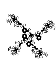 CCC(C(=O)OCC(O)COC(=O)C1CCCC(C(=O)OCC(COC(=O)C2CCCCC2C(=O)OCC(O)COC(=O)C(CC)(C(C)C)C(C)C)(COC(=O)C2CCCCC2C(=O)OCC(O)COC(=O)C(CC)(C(C)C)C(C)C)COC(=O)C2CCCCC2C(=O)OCC(O)COC(=O)C(CC)(C(C)C)C(C)C)C1)(C(C)C)C(C)C